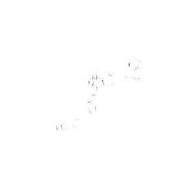 CN1CCC(Oc2ccc(C=Cc3n[nH]c4cc(C5CC56C(=O)Nc5ccccc56)ccc34)cc2)CC1